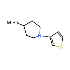 COC1CCN(c2ccsc2)CC1